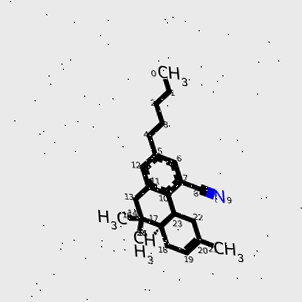 CCCCCc1cc(C#N)c2c(c1)CC(C)(C)[C@@H]1CC=C(C)CC21